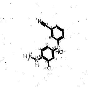 Cl.N#Cc1cccc(Oc2ccc(NN)c(Cl)c2)c1